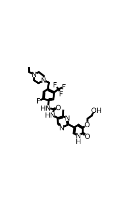 CCN1CCN(Cc2cc(F)c(NC(=O)Nc3cnc(-c4c[nH]c(=O)c(OCCO)c4)nc3C)cc2C(F)(F)F)CC1